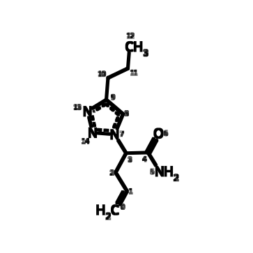 C=CCC(C(N)=O)n1cc(CCC)nn1